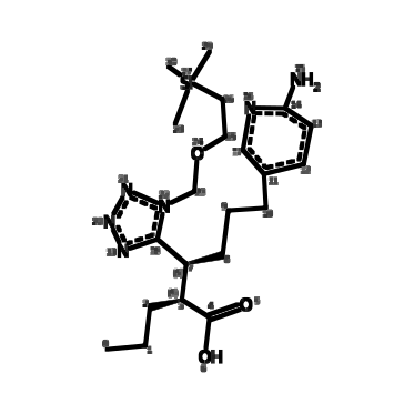 CCC[C@H](C(=O)O)[C@H](CCCc1ccc(N)nc1)c1nnnn1COCC[Si](C)(C)C